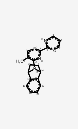 Cc1cnc(-c2ncccn2)nc1N1C2CCC1c1ccccc12